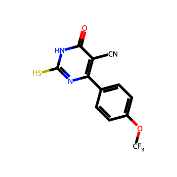 N#Cc1c(-c2ccc(OC(F)(F)F)cc2)nc(S)[nH]c1=O